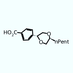 CCCCC[C@H]1CO[C@H](c2ccc(C(=O)O)cc2)CO1